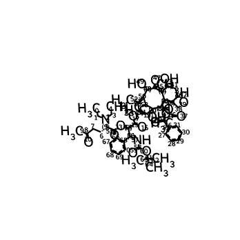 CCN(CC)[C@@H](CCC(C)=O)C(=O)O[C@@H](C(=O)O[C@H]1C[C@@]2(O)[C@@H](OC(=O)c3ccccc3)[C@@H]3[C@]4(OC(C)=O)CO[C@@H]4C[C@H](O)[C@@]3(C)C(=O)[C@H](O)C(=C1C)C2(C)C)[C@@H](NC(=O)OC(C)(C)C)c1ccccc1